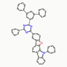 c1ccc(-c2cc(-c3ccccc3)cc(-c3nc(-c4ccccc4)nc(-c4ccc5oc6c(ccc7c8ccccc8n(-c8ccccc8)c76)c5c4)n3)c2)cc1